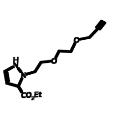 C#CCOCCOCCN1NC=CC1C(=O)OCC